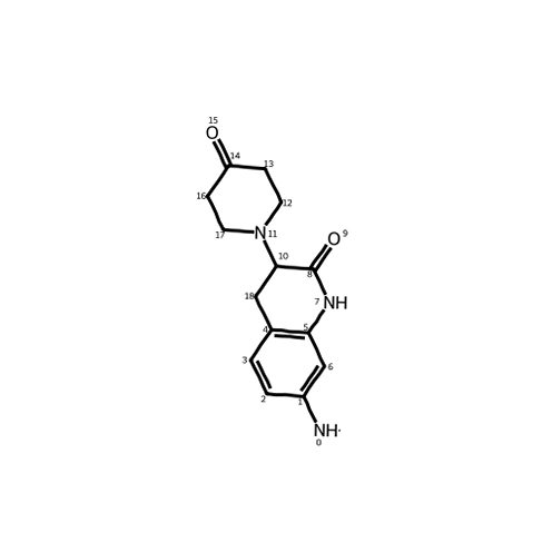 [NH]c1ccc2c(c1)NC(=O)C(N1CCC(=O)CC1)C2